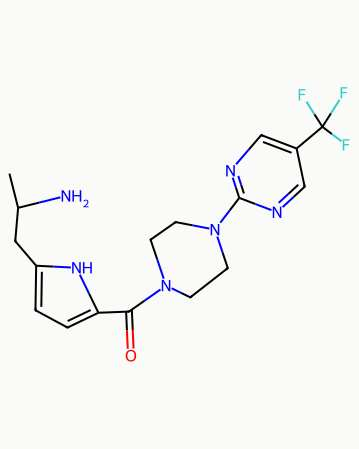 CC(N)Cc1ccc(C(=O)N2CCN(c3ncc(C(F)(F)F)cn3)CC2)[nH]1